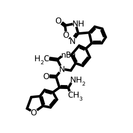 C=C(CCCC)N(Cc1ccc(-c2ccccc2-c2noc(=O)[nH]2)cc1)C(=O)/C(=C(/C)N)c1ccc2c(c1)CCO2